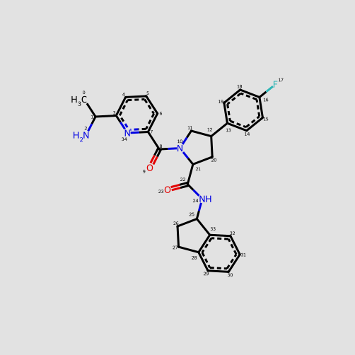 CC(N)c1cccc(C(=O)N2CC(c3ccc(F)cc3)CC2C(=O)NC2CCc3ccccc32)n1